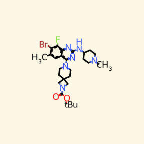 Cc1cc2c(N3CCC4(CC3)CN(C(=O)OC(C)(C)C)C4)nc(NC3CCN(C)CC3)nc2c(F)c1Br